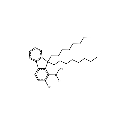 CCCCCCCCC1(CCCCCCCC)c2ccccc2-c2ccc(Br)c(B(O)O)c21